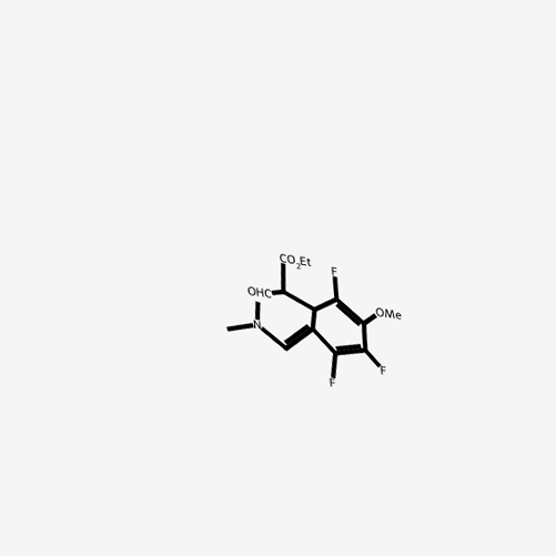 CCOC(=O)C(C=O)C1C(F)=C(OC)C(F)=C(F)/C1=C/N(C)C